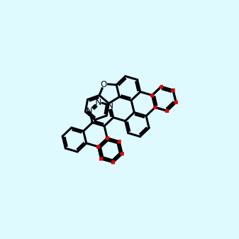 c1ccc(-c2ccccc2-c2nnnc(-c3cccc(-c4ccccc4)c3-c3c(-c4ccccc4)ccc4oc5ccccc5c34)c2-c2ccccc2)cc1